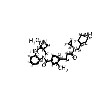 Cc1cc(C(=O)N2Cc3cnn(C)c3Nc3ccccc32)ccc1CCC(=O)N(CC1CCNCC1)C1CC1